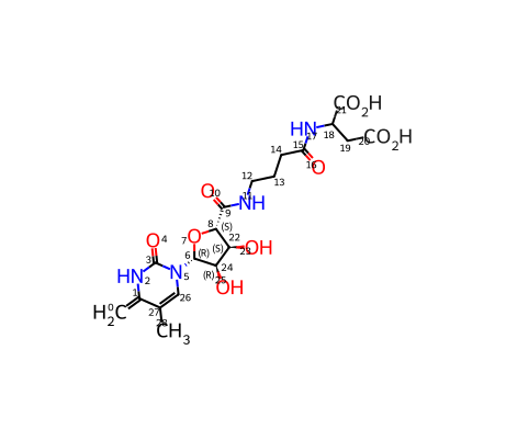 C=C1NC(=O)N([C@@H]2O[C@H](C(=O)NCCCC(=O)NC(CC(=O)O)C(=O)O)[C@@H](O)[C@H]2O)C=C1C